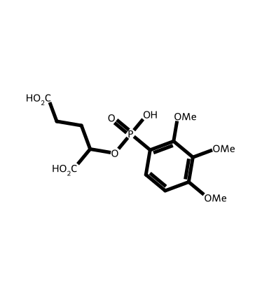 COc1ccc(P(=O)(O)OC(CCC(=O)O)C(=O)O)c(OC)c1OC